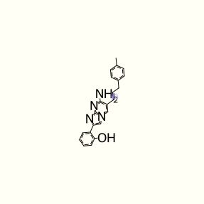 Cc1ccc(C/C=C/c2cn3cc(-c4ccccc4O)nc3nc2N)cc1